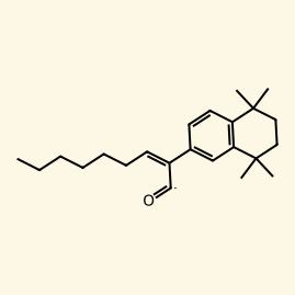 CCCCCCC=C([C]=O)c1ccc2c(c1)C(C)(C)CCC2(C)C